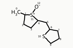 CC1CCC(CC2CCCS2)[S+]1[O-]